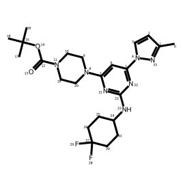 Cc1ccn(-c2cc(N3CCN(C(=O)OC(C)(C)C)CC3)nc(NC3CCC(F)(F)CC3)n2)n1